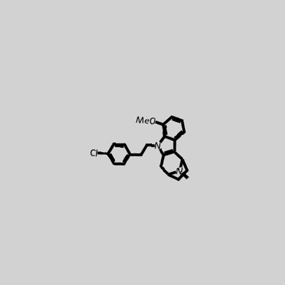 COc1cccc2c3c(n(CCc4ccc(Cl)cc4)c12)CC1CCC3N1C